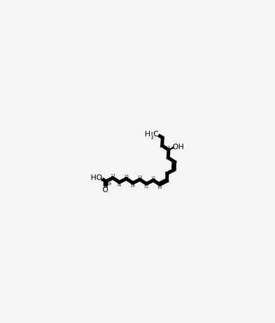 CCC[C@@H](O)C/C=C\C/C=C\CCCCCCCC(=O)O